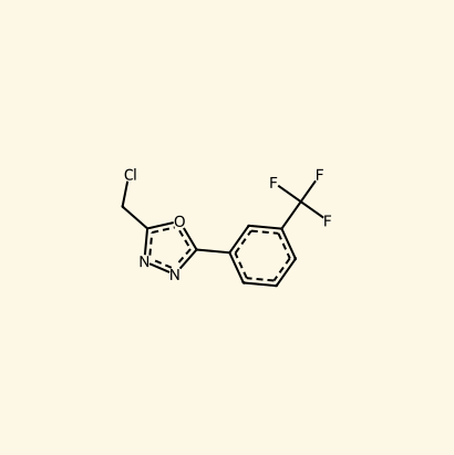 FC(F)(F)c1cccc(-c2nnc(CCl)o2)c1